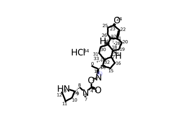 C/C(=N\OC(=O)N(C)C[C@@H]1CCCN1)[C@H]1CCC2[C@@H]3CCC4=CC(=O)CC[C@]4(C)[C@H]3CC[C@@]21C.Cl